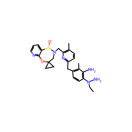 CCN(N)c1ccc(Cc2ccc(C)c(CN3CC4(CC4)Oc4ncccc4[S+]3[O-])n2)c(C)c1N